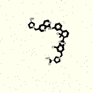 CC1(Cl)C(c2cccc(Nc3nccc4cc(CN5CC[C@H](O)C5)cnc34)c2)=CC=CC1c1nc2cc(CN3CC[C@H](C(=O)O)C3)cc(Cl)c2o1